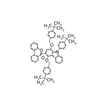 CC(C)(C)c1ccc(COc2c(P3(=O)Oc4ccccc4-c4ccccc43)cc(OCc3ccc(C(C)(C)C)cc3)c3c2c2ccccc2n3-c2ccc(C(C)(C)C)cc2)cc1